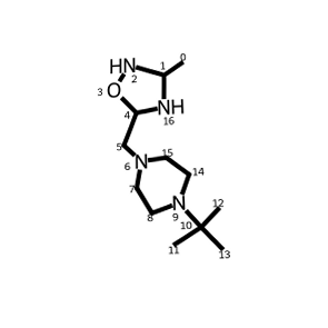 CC1NOC(CN2CCN(C(C)(C)C)CC2)N1